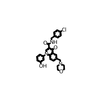 O=C(NCc1ccc(Cl)cc1)c1cn(-c2cccc(O)c2)c2ccc(CN3CCOCC3)cc2c1=O